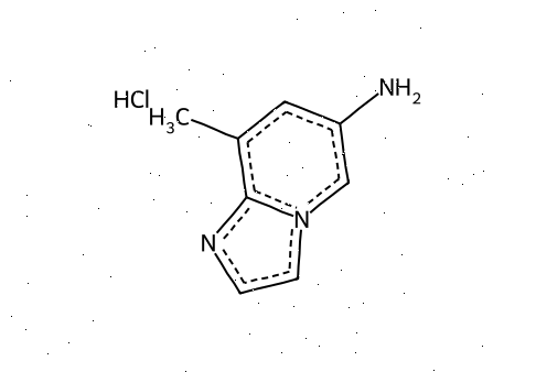 Cc1cc(N)cn2ccnc12.Cl